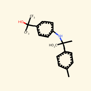 Cc1ccc(C(C)(Nc2ccc(C(O)(C(F)(F)F)C(F)(F)F)cc2)C(=O)O)cc1